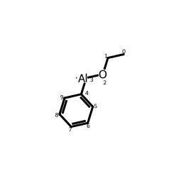 CC[O][Al][c]1ccccc1